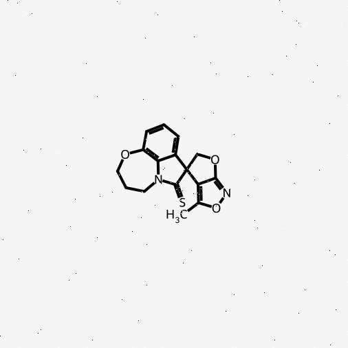 Cc1onc2c1C1(CO2)C(=S)N2CCCOc3cccc1c32